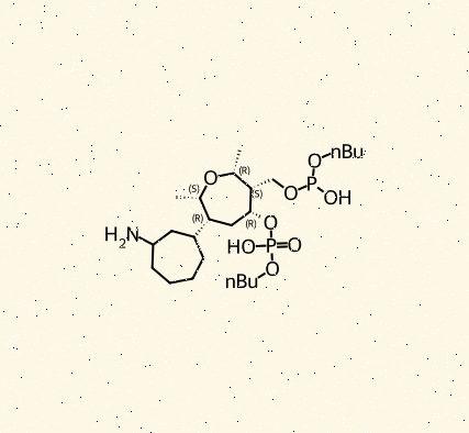 CCCCOP(O)OC[C@H]1[C@@H](C)O[C@@H](C)[C@@H](C2CCCCC(N)C2)C[C@H]1OP(=O)(O)OCCCC